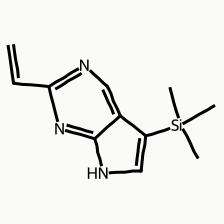 C=Cc1ncc2c([Si](C)(C)C)c[nH]c2n1